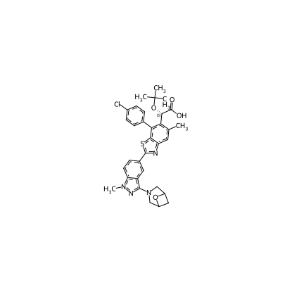 Cc1cc2nc(-c3ccc4c(c3)c(N3CC5CC(C3)O5)nn4C)sc2c(-c2ccc(Cl)cc2)c1[C@H](OC(C)(C)C)C(=O)O